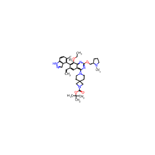 C=Cc1cc2c(N3CCC4(CC3)CN(C(=O)OC(C)(C)C)C4)nc(OCC3CCCN3C)nc2c(OCC)c1-c1c(C)ccc2[nH]ncc12